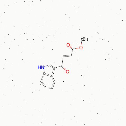 CC(C)(C)OC(=O)/C=C/C(=O)c1c[nH]c2ccccc12